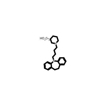 O=C(O)[C@@H]1CCCN(CCCCN2c3ccccc3CCc3ccccc32)C1